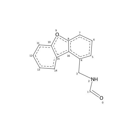 O=[C]NCc1cccc2oc3ccccc3c12